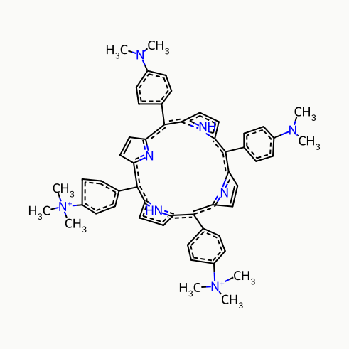 CN(C)c1ccc(-c2c3nc(c(-c4ccc([N+](C)(C)C)cc4)c4ccc([nH]4)c(-c4ccc([N+](C)(C)C)cc4)c4nc(c(-c5ccc(N(C)C)cc5)c5ccc2[nH]5)C=C4)C=C3)cc1